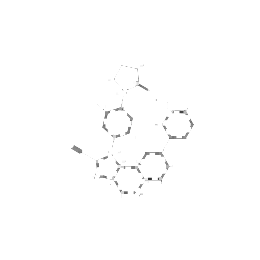 C#Cc1nc2cnc3ccc(-c4cccnc4)cc3c2n1-c1ccc(N2CCCC2=O)c(F)c1